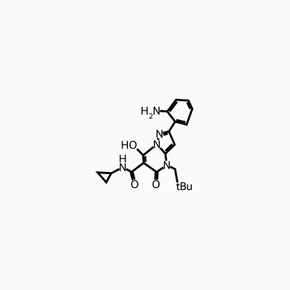 CC(C)(C)Cn1c(=O)c(C(=O)NC2CC2)c(O)n2nc(-c3ccccc3N)cc12